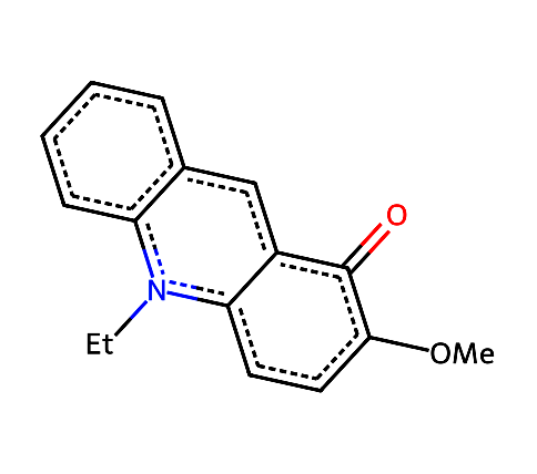 CCn1c2ccc(OC)c(=O)c-2cc2ccccc21